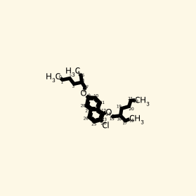 CCCCC(CC)COc1ccc2c(OCC(CC)CCCC)c(Cl)ccc2c1